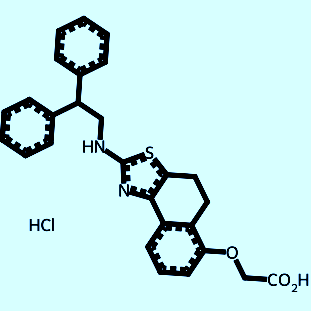 Cl.O=C(O)COc1cccc2c1CCc1sc(NCC(c3ccccc3)c3ccccc3)nc1-2